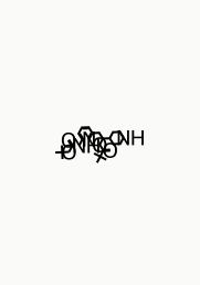 CC(C)(C)OC(=O)Nc1cccc(CC(OC(=O)C(C)(C)C)C2CCNCC2)n1